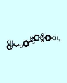 Cc1ccc(S(=O)(=O)N2CCc3nc(-c4ccc(OCCCN5CCCC5C)cc4)sc3C2)cc1